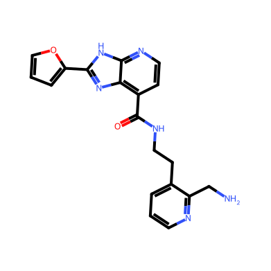 NCc1ncccc1CCNC(=O)c1ccnc2[nH]c(-c3ccco3)nc12